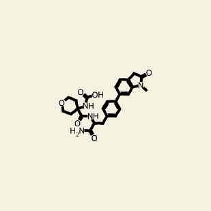 CN1C(=O)Cc2ccc(-c3ccc(CC(NC(=O)C4(NC(=O)O)CCOCC4)C(N)=O)cc3)cc21